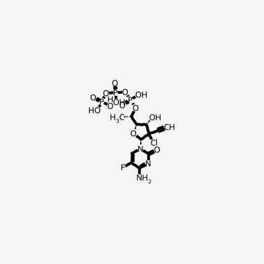 C#CC1(Cl)[C@@H](O)[C@@H]([C@H](C)OP(=O)(O)OP(=O)(O)OP(=O)(O)O)O[C@H]1n1cc(F)c(N)nc1=O